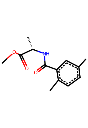 COC(=O)[C@H](C)NC(=O)c1cc(C)ccc1C